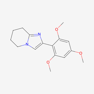 COc1cc(OC)c(-c2cn3c(n2)CCCC3)c(OC)c1